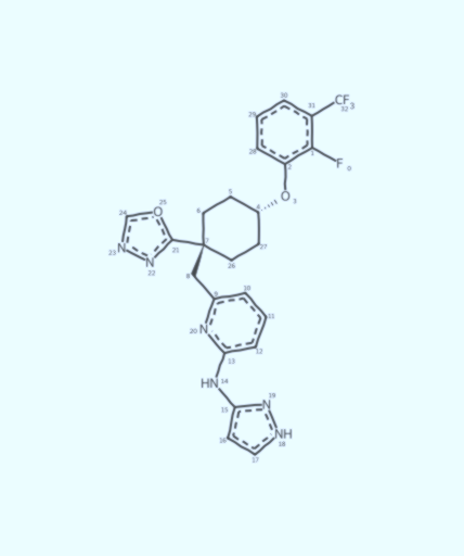 Fc1c(O[C@H]2CC[C@@](Cc3cccc(Nc4cc[nH]n4)n3)(c3nnco3)CC2)cccc1C(F)(F)F